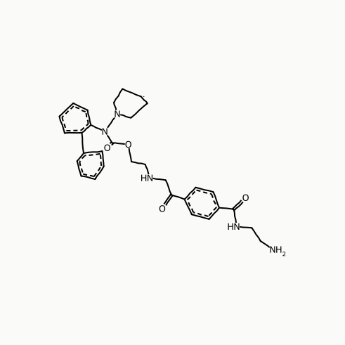 NCCNC(=O)c1ccc(C(=O)CNCCOC(=O)N(c2ccccc2-c2ccccc2)N2CC[CH]CC2)cc1